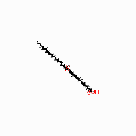 CCCCCCC=CCCCCCCCCCCCC(=O)OCCCCCCCCCCCCCCCC(=O)O